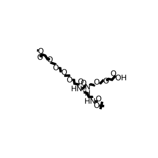 COC(=O)CCOCCOCCOCCOCCC(=O)N[C@@H](CCCCNC(=O)OC(C)(C)C)C(=O)NCCOCCOCCC(=O)O